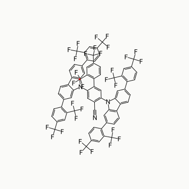 N#Cc1cc(-n2c3cc(-c4ccc(C(F)(F)F)cc4C(F)(F)F)ccc3c3ccc(-c4ccc(C(F)(F)F)cc4C(F)(F)F)cc32)c(-c2ccc(C(F)(F)F)cc2C(F)(F)F)cc1-n1c2cc(-c3ccc(C(F)(F)F)cc3C(F)(F)F)ccc2c2ccc(-c3ccc(C(F)(F)F)cc3C(F)(F)F)cc21